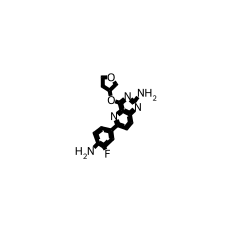 Nc1nc(OC2CCOC2)c2nc(-c3ccc(N)c(F)c3)ccc2n1